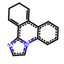 C1=c2c(c3nccn3c3ccccc23)=CCC1